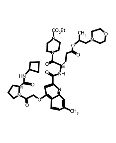 CCOC(=O)N1CCN(C(=O)[C@H](CCC(=O)OC(C)CN2CCOCC2)NC(=O)c2cc(OCC(=O)N3CCC[C@H]3C(=O)NC3CCC3)c3ccc(C)cc3n2)CC1